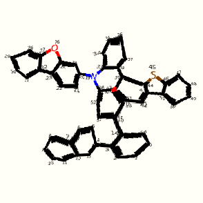 c1ccc(-c2ccc3ccccc3c2)c(-c2ccc(N(c3ccc4c(c3)oc3ccccc34)c3ccccc3-c3cccc4c3sc3ccccc34)cc2)c1